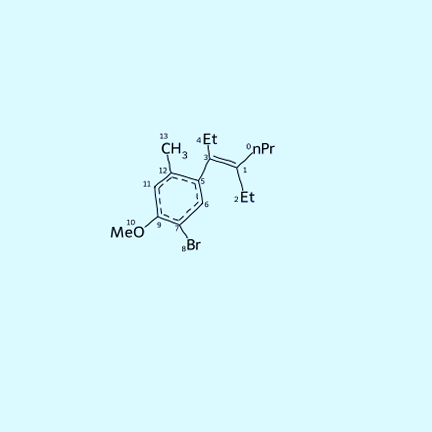 CCC/C(CC)=C(\CC)c1cc(Br)c(OC)cc1C